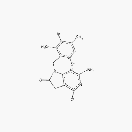 Cc1c[n+]([O-])c(CN2C(=O)Cc3c(Cl)nc(N)nc32)c(C)c1Br